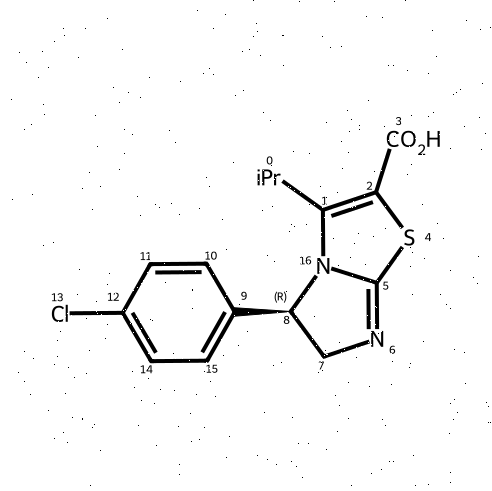 CC(C)C1=C(C(=O)O)SC2=NC[C@@H](c3ccc(Cl)cc3)N21